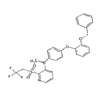 CN(c1ccc(Oc2ccccc2OCc2ccccc2)cc1)c1cccnc1S(=O)(=O)CC(F)(F)F